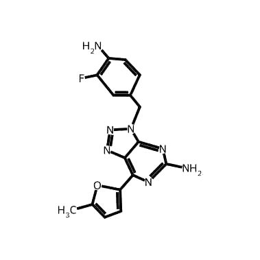 Cc1ccc(-c2nc(N)nc3c2nnn3Cc2ccc(N)c(F)c2)o1